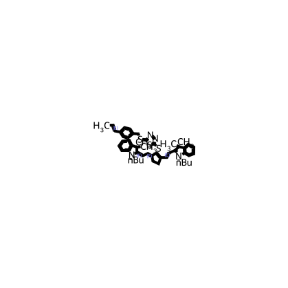 C/C=C/c1ccc(CSc2nnc(SC3=C(/C=C/C4=[N+](CCCC)c5ccccc5C4(C)C)CC/C3=C\C=C3\N(CCCC)c4ccccc4C3(C)C)s2)cc1